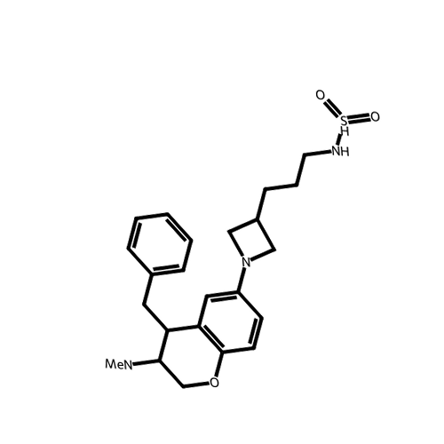 CNC1COc2ccc(N3CC(CCCN[SH](=O)=O)C3)cc2C1Cc1ccccc1